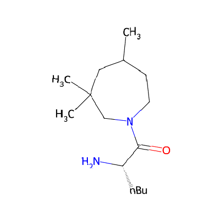 CCCC[C@H](N)C(=O)N1CCC(C)CC(C)(C)C1